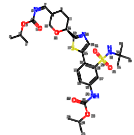 CC(C)OC(=O)/N=C\C1CC[C@@H](c2ncc(-c3ccc(NC(=O)OC(C)C)cc3S(=O)(=O)NC(C)(C)C)s2)OC1